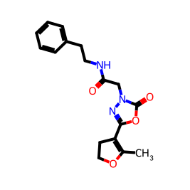 CC1=C(c2nn(CC(=O)NCCc3ccccc3)c(=O)o2)CCO1